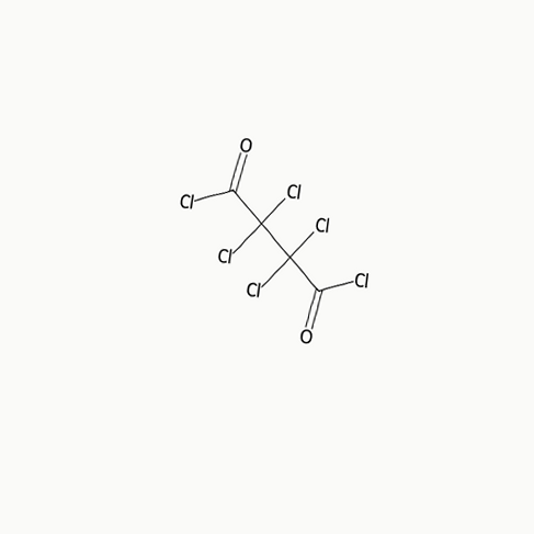 O=C(Cl)C(Cl)(Cl)C(Cl)(Cl)C(=O)Cl